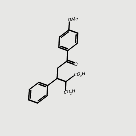 COc1ccc(C(=O)CC(c2ccccc2)C(C(=O)O)C(=O)O)cc1